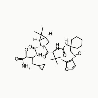 Cc1occc1[S+]([O-])CC1(NC(=O)N[C@H](C(=O)N2C[C@H]3[C@@H]([C@H]2C(=O)NC(CC2CC2)C(=O)C(N)=O)C3(C)C)C(C)(C)C)CCCCC1